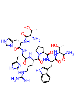 C[C@@H](O)[C@H](N)C(=O)N[C@@H](Cc1c[nH]cn1)C(=O)N[C@@H](Cc1c[nH]cn1)C(=O)N[C@@H](CCCNC(=N)N)C(=O)N1CCC[C@H]1C(=O)N[C@@H](Cc1c[nH]c2ccccc12)C(=O)N[C@H](C(N)=O)[C@@H](C)O